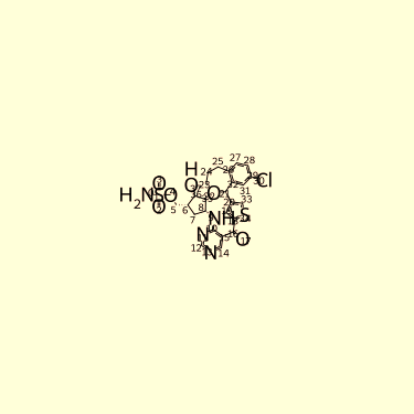 NS(=O)(=O)OC[C@H]1C[C@@H](Nc2ncncc2C(=O)c2cc([C@H]3OCCCc4ccc(Cl)cc43)cs2)C[C@@H]1O